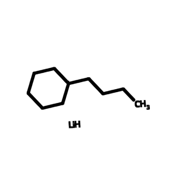 CCCC[C]1CCCCC1.[LiH]